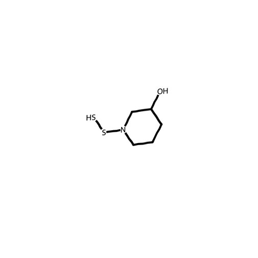 OC1CCCN(SS)C1